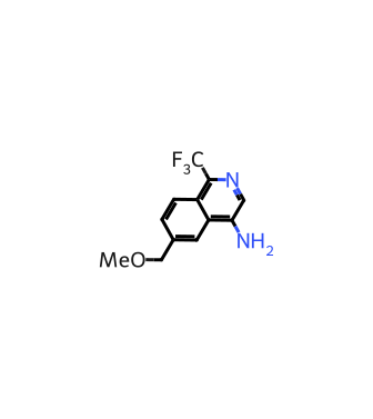 COCc1ccc2c(C(F)(F)F)ncc(N)c2c1